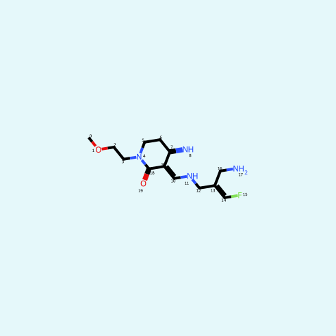 COCCN1CCC(=N)/C(=C\NC/C(=C/F)CN)C1=O